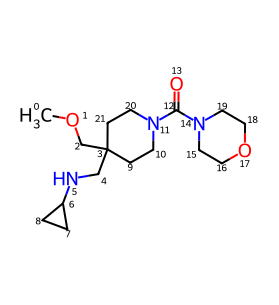 COCC1(CNC2CC2)CCN(C(=O)N2CCOCC2)CC1